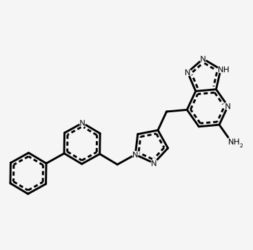 Nc1cc(Cc2cnn(Cc3cncc(-c4ccccc4)c3)c2)c2nn[nH]c2n1